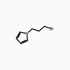 BrCCCn1cccc1